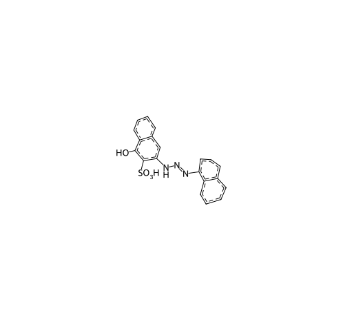 O=S(=O)(O)c1c(NN=Nc2cccc3ccccc23)cc2ccccc2c1O